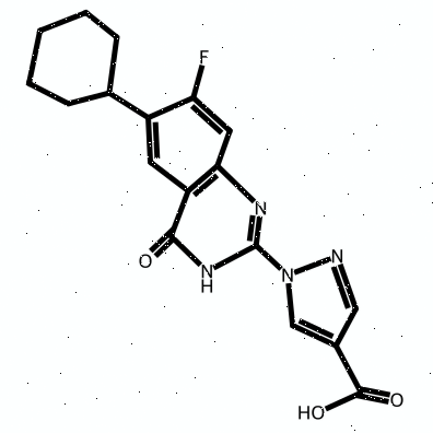 O=C(O)c1cnn(-c2nc3cc(F)c(C4CCCCC4)cc3c(=O)[nH]2)c1